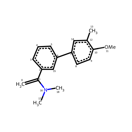 C=C(c1cccc(-c2ccc(OC)c(C)c2)c1)N(C)C